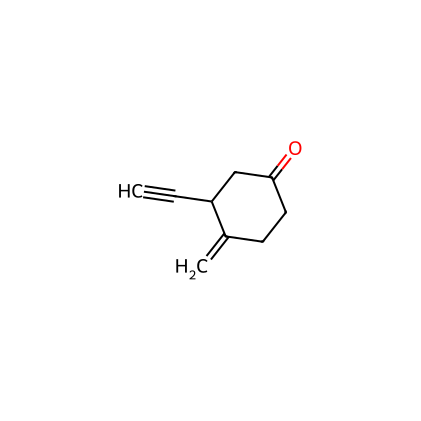 C#CC1CC(=O)CCC1=C